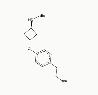 CC(C)(C)CCc1ccc(O[C@H]2C[C@H](NC(C)(C)C)C2)cc1